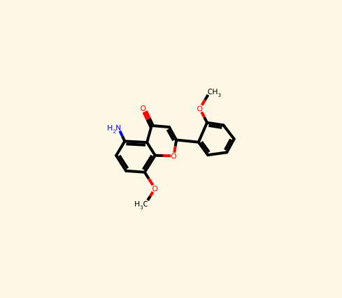 COc1ccccc1-c1cc(=O)c2c(N)ccc(OC)c2o1